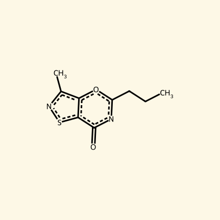 CCCc1nc(=O)c2snc(C)c2o1